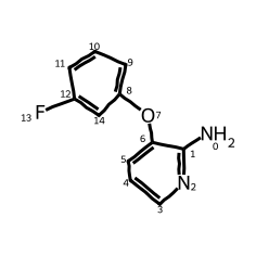 Nc1ncccc1Oc1cccc(F)c1